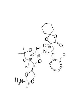 CC1(C)O[C@@H]2[C@H](O1)[C@H](C1CO[C@@](C)(N)O1)O[C@H]2N1O[C@@]2(C[C@@H]1c1ccccc1F)OC1(CCCCC1)OC2=O